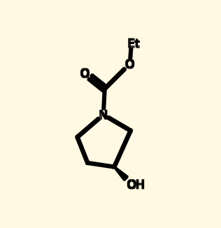 CCOC(=O)N1CC[C@H](O)C1